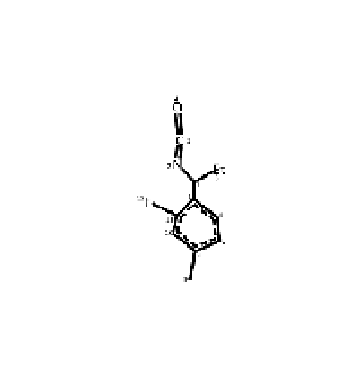 CCC(N=C=O)c1ccc(C)cc1F